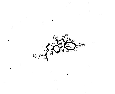 CC[C@@H]1C(=O)[C@@H]2[C@H](CC[C@]3(C)C([C@H](C)C(=O)O)CC[C@@H]23)[C@@]2(C)CC[C@@H](O)C[C@@H]12